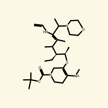 C=CN/C(=C(/C)C(C)[C@H](CC)[C@@H](C)SC1=C(NC)CCN(C(=O)OC(C)(C)C)C1)C(C)N1CCOCC1